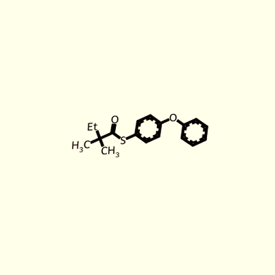 CCC(C)(C)C(=O)Sc1ccc(Oc2ccccc2)cc1